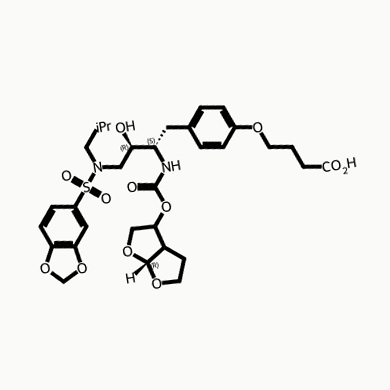 CC(C)CN(C[C@@H](O)[C@H](Cc1ccc(OCCCC(=O)O)cc1)NC(=O)OC1CO[C@H]2OCCC12)S(=O)(=O)c1ccc2c(c1)OCO2